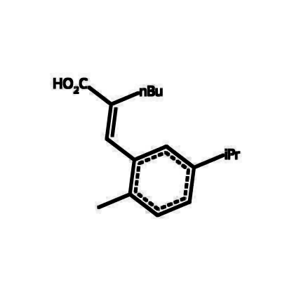 CCCC/C(=C\c1cc(C(C)C)ccc1C)C(=O)O